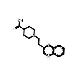 O=C(O)C1CCN(CCc2cnc3ccccc3n2)CC1